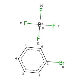 Brc1ccccc1.F[B-](F)(F)F